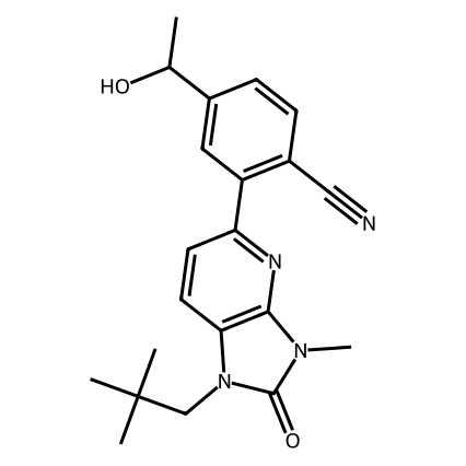 CC(O)c1ccc(C#N)c(-c2ccc3c(n2)n(C)c(=O)n3CC(C)(C)C)c1